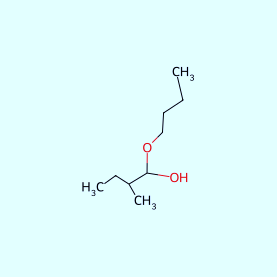 CCCCOC(O)C(C)CC